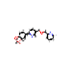 c1ccc(COCc2ccc(-c3ccc4c(c3)OCO4)nc2)nc1